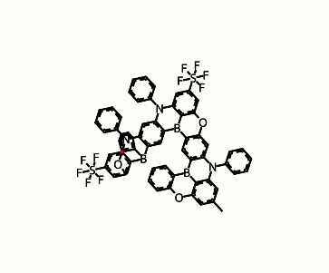 Cc1cc2c3c(c1)N(c1ccccc1)c1cc4c(cc1B3c1ccccc1O2)B1c2cc3c(cc2N(c2ccccc2)c2cc(S(F)(F)(F)(F)F)cc(c21)O4)N(c1ccccc1)c1cc(S(F)(F)(F)(F)F)cc2c1B3c1ccccc1O2